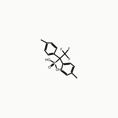 Cc1ccc(C(c2ccc(C)cc2)(C(F)(F)F)P(=O)(O)O)cc1